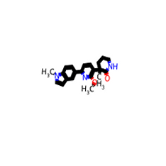 COc1nc(-c2ccc3c(ccn3C)c2)ccc1C1(C)CCCNC1=O